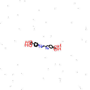 CN(C)C(CC[N+](C)(C)c1ccc(B(O)O)cc1)Cc1ccc(B(O)O)cc1